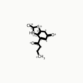 CCCC(=O)C1=CC(=O)CC2=C1NC(Cl)S2